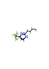 CCCCc1nccc(C(F)(F)F)n1